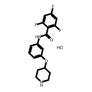 Cl.O=C(Nc1cccc(OC2CCNCC2)c1)c1c(F)cc(F)cc1F